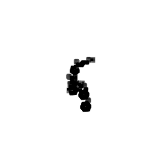 Cc1cc(Oc2ccccc2)ccc1N1C(=O)Nc2c(C(=O)NC3CCN(C(=O)C=CCO)C3)sc3nccc1c23